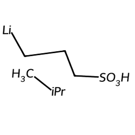 CC(C)C.[Li][CH2]CCS(=O)(=O)O